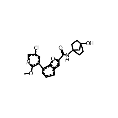 COc1ncc(Cl)cc1-c1cccc2cc(C(=O)NC34CCC(O)(CC3)C4)oc12